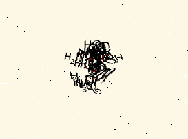 CNC(CC(=O)O)C(=O)NC(CCCNC(=N)N)C(=O)NC(CC(=O)O)C(=O)NC(CC=O)C(=O)NC(CSSCCOC(=O)OCC(=O)CCC1C2CCC3=CC(=O)C=CC3(C)C2C(O)CC1(C)O)C(=O)O